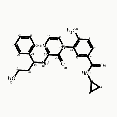 Cc1ccc(C(=O)NC2CC2)cc1-n1ccnc(NC(CCO)c2ccccc2)c1=O